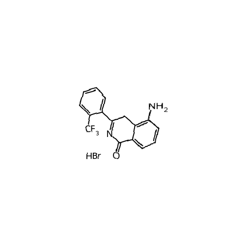 Br.Nc1cccc2c1CC(c1ccccc1C(F)(F)F)=NC2=O